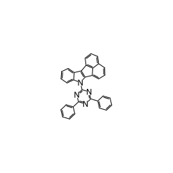 c1ccc(-c2nc(-c3ccccc3)nc(-n3c4c(c5ccccc53)-c3cccc5cccc-4c35)n2)cc1